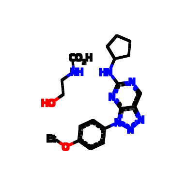 CCOc1ccc(-n2nnc3cnc(NC4CCCC4)nc32)cc1.O=C(O)NCCO